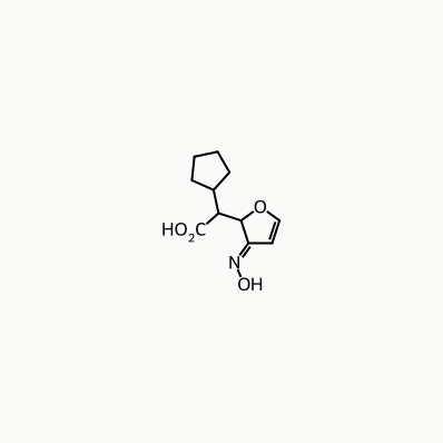 O=C(O)C(C1CCCC1)C1OC=CC1=NO